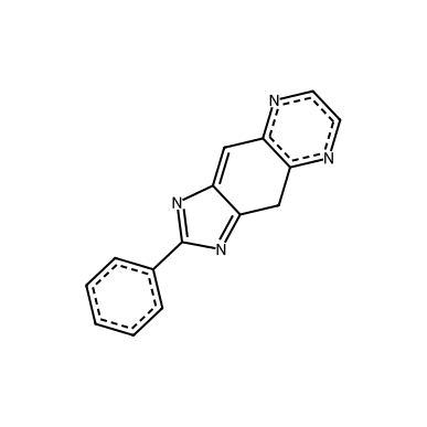 C1=C2N=C(c3ccccc3)N=C2Cc2nccnc21